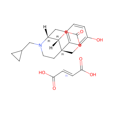 O=C(O)/C=C/C(=O)O.O=C1OC[C@]23CCN(CC4CC4)[C@H](Cc4ccc(O)cc42)[C@@H]3O1